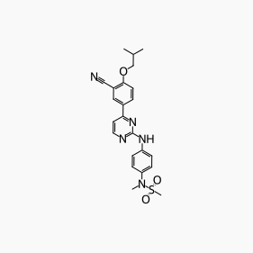 CC(C)COc1ccc(-c2ccnc(Nc3ccc(N(C)S(C)(=O)=O)cc3)n2)cc1C#N